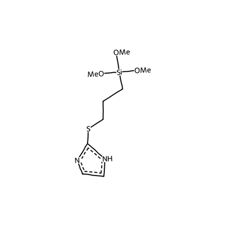 CO[Si](CCCSc1ncc[nH]1)(OC)OC